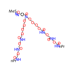 CCCNC(=O)CCOCCNC(=O)CCOCCNC(=O)CCOCCOCCOCCOCCN(CCOCCOCCOCCOCCC(=O)NCCOCCC(=O)NCCOCCC(=O)NCCC)C(=O)c1ccc(-c2nnc(SC)o2)cc1